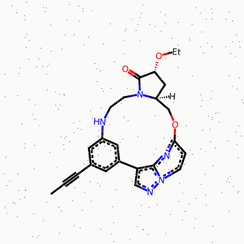 CC#Cc1cc2cc(c1)-c1cnn3ccc(nc13)OC[C@@H]1C[C@@H](OCC)C(=O)N1CCN2